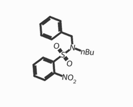 CCCCN(Cc1ccccc1)S(=O)(=O)c1ccccc1[N+](=O)[O-]